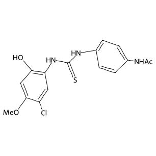 COc1cc(O)c(NC(=S)Nc2ccc(NC(C)=O)cc2)cc1Cl